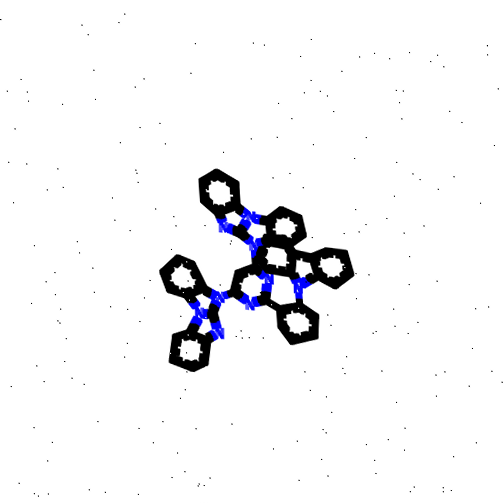 c1ccc(-n2c3ccccc3c3ccccc32)c(-c2nc(-n3c4ccccc4n4c5ccccc5nc34)cc(-n3c4ccccc4n4c5ccccc5nc34)n2)c1